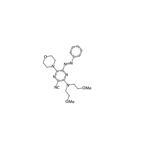 [C-]#[N+]c1nc(N2CCOCC2)c(/N=N/c2ccccc2)nc1N(CCOC)CCOC